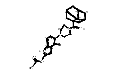 O=C(O)Oc1cc2c(Br)c(N3CCN(C(=O)C45CC6CC(CC(C6)C4)C5)CC3)ccc2o1